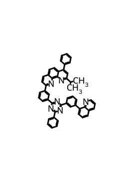 CC(C)c1cc(-c2ccccc2)c2ccc3ccc(-c4cccc(-c5nc(-c6ccccc6)nc(-c6cccc(-c7cccc8cccnc78)c6)n5)c4)nc3c2n1